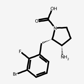 N[C@H]1CCN(C(=O)O)[C@H]1Cc1cccc(Br)c1F